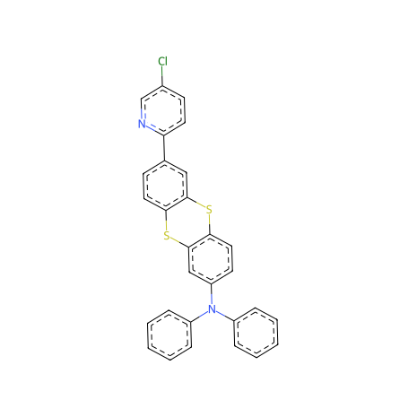 Clc1ccc(-c2ccc3c(c2)Sc2ccc(N(c4ccccc4)c4ccccc4)cc2S3)nc1